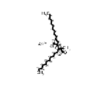 CCCCCCCCCCCCC(C)(SC(C)(CCCCCCCCCCCC)C(=O)[O-])C(=O)[O-].[Zn+2]